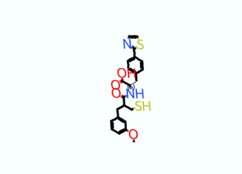 COc1cccc(CC(CS)C(=O)N[C@@H](Cc2ccc(-c3nccs3)cc2)C(=O)O)c1